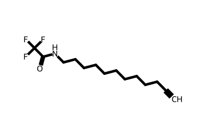 C#CCCCCCCCCCCNC(=O)C(F)(F)F